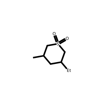 CCC1CC(C)CS(=O)(=O)C1